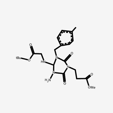 COC(=O)CCN1C(=O)N(N)C(NCC(=O)OC(C)(C)C)N(Cc2ccc(C)cc2)C1=O